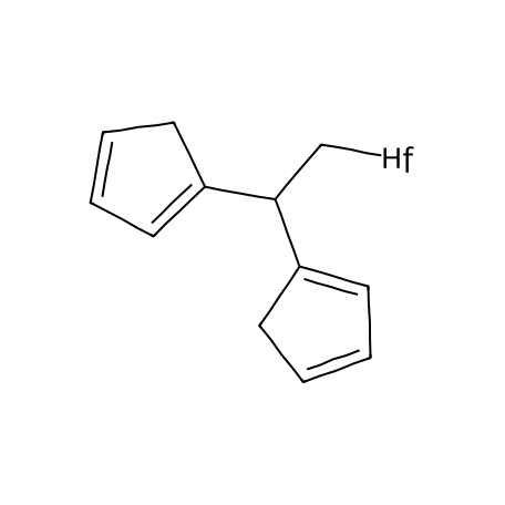 [Hf][CH2]C(C1=CC=CC1)C1=CC=CC1